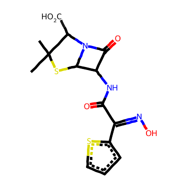 CC1(C)SC2C(NC(=O)C(=NO)c3cccs3)C(=O)N2C1C(=O)O